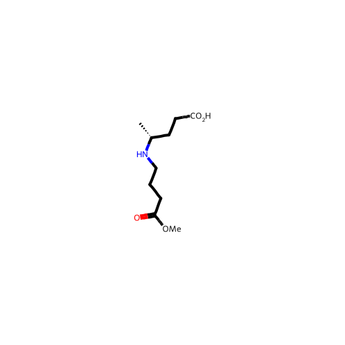 COC(=O)CCCN[C@H](C)CCC(=O)O